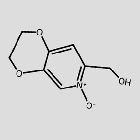 [O-][n+]1cc2c(cc1CO)OCCO2